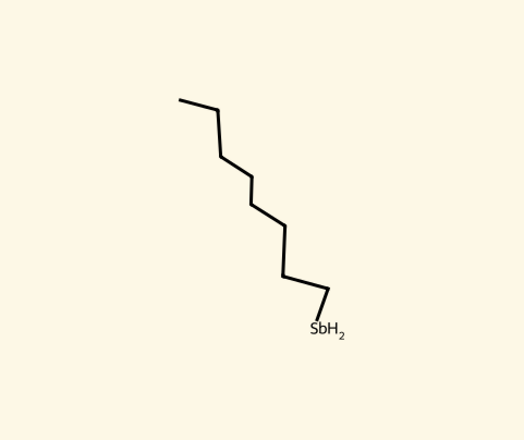 CCCCCCC[CH2][SbH2]